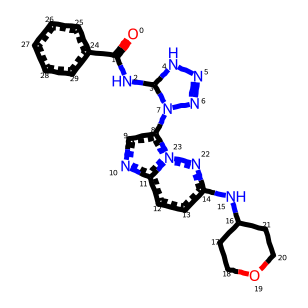 O=C(NC1NN=NN1c1cnc2ccc(NC3CCOCC3)nn12)c1ccccc1